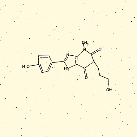 Cc1ccc(-c2nc3c([nH]2)c(=O)n(CCCO)c(=O)n3C)cc1